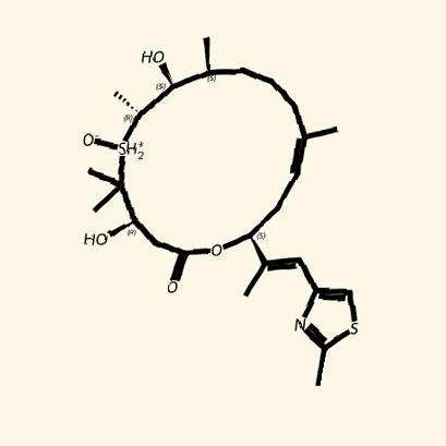 CC1=CC[C@@H](C(C)=Cc2csc(C)n2)OC(=O)C[C@@H](O)C(C)(C)[SH2+]([O-])[C@H](C)[C@@H](O)[C@@H](C)CCC1